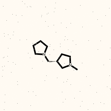 CN1CC[C@@H](CN2CCCC2)C1